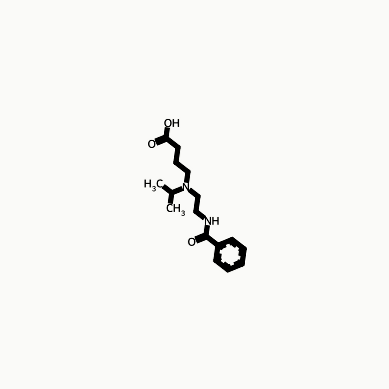 CC(C)N(CCCC(=O)O)CCNC(=O)c1ccccc1